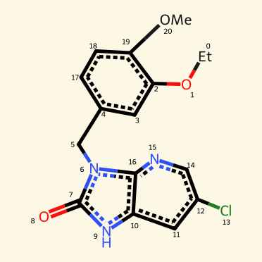 CCOc1cc(Cn2c(=O)[nH]c3cc(Cl)cnc32)ccc1OC